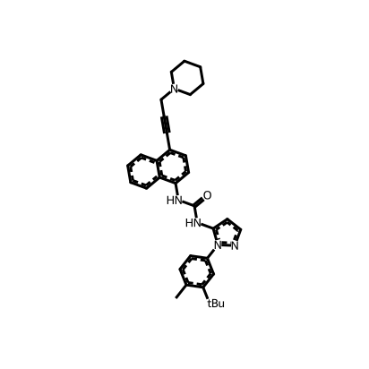 Cc1ccc(-n2nccc2NC(=O)Nc2ccc(C#CCN3CCCCC3)c3ccccc23)cc1C(C)(C)C